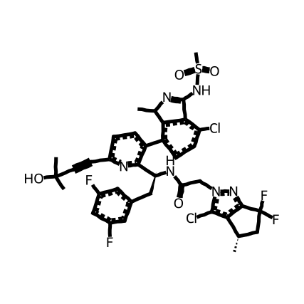 CC1N=C(NS(C)(=O)=O)c2c(Cl)ccc(-c3ccc(C#CC(C)(C)O)nc3[C@H](Cc3cc(F)cc(F)c3)NC(=O)Cn3nc4c(c3Cl)[C@@H](C)CC4(F)F)c21